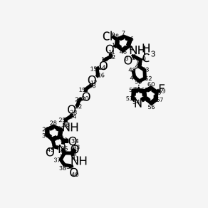 C[C@@H](C(=O)Nc1ccc(Cl)c(OCCOCCOCCOCCOCCNc2cccc3c2C(=O)N(C2CCC(=O)NC2=O)C3=O)c1)[C@H]1CC[C@@H](c2ccnc3ccc(F)cc32)CC1